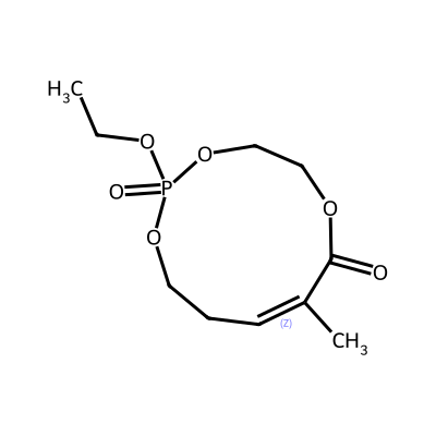 CCOP1(=O)OCC/C=C(/C)C(=O)OCCO1